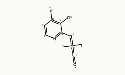 CS(C)(=C=O)=Nc1nccc(Br)c1Cl